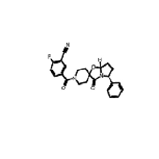 N#Cc1cc(C(=O)N2CCC3(CC2)O[C@@H]2CC[C@@H](c4ccccc4)N2C3=O)ccc1F